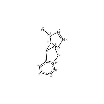 CCN1N=NC2C3OC(c4ccccc43)C21